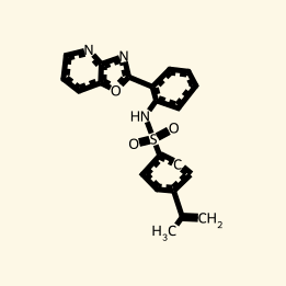 C=C(C)c1ccc(S(=O)(=O)Nc2ccccc2-c2nc3ncccc3o2)cc1